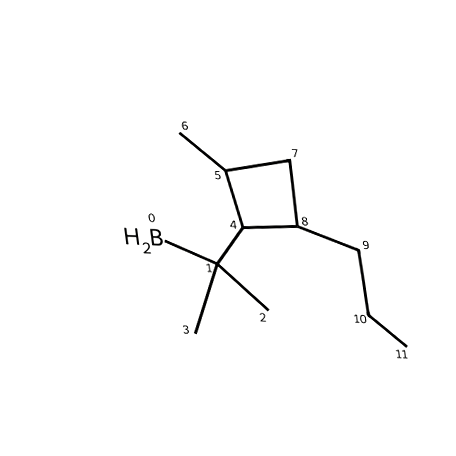 BC(C)(C)C1C(C)CC1CCC